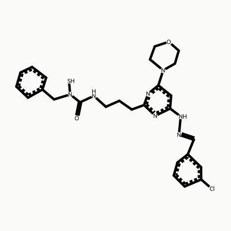 O=C(NCCCc1nc(NN=Cc2cccc(Cl)c2)cc(N2CCOCC2)n1)N(S)Cc1ccccc1